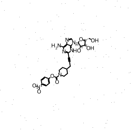 Nc1nc(C#CCC2CCN(C(=O)Oc3ccc([N+](=O)[O-])cc3)CC2)nc2c1ncn2[C@@H]1O[C@H](CO)[C@@H](O)[C@H]1O